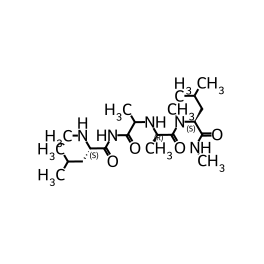 CNC(=O)[C@H](CC(C)C)N(C)C(=O)[C@@H](C)NC(C)C(=O)NC(=O)[C@H](CC(C)C)NC